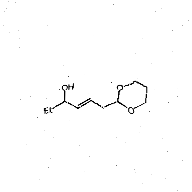 CCC(O)C=CCC1OCCCO1